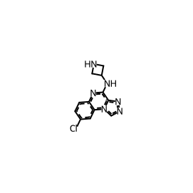 Clc1ccc2nc(NC3CNC3)c3nncn3c2c1